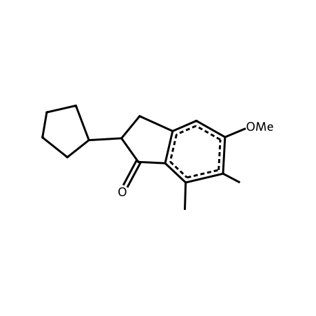 COc1cc2c(c(C)c1C)C(=O)C(C1CCCC1)C2